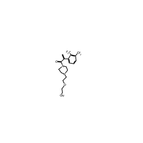 C=C(C(=O)N1CCN(CCOCCO)CC1)c1cc[c]c(C(F)(F)F)c1C(F)(F)F